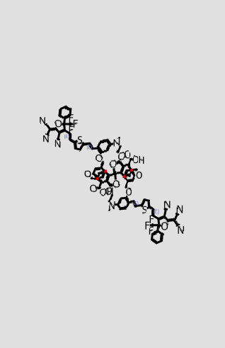 CN(CCOC(=O)c1c(C(C)(C)c2ccc(C=O)c(C(=O)O)c2C(=O)OCCN(C)c2ccc(/C=C/c3ccc(/C=C/C4=C(C#N)C(=C(C#N)C#N)OC4(c4ccccc4)C(F)(F)F)s3)c(OCc3ccccc3)c2)ccc(C=O)c1C(=O)O)c1ccc(/C=C/c2ccc(/C=C/C3=C(C#N)C(=C(C#N)C#N)OC3(c3ccccc3)C(F)(F)F)s2)c(OCc2ccccc2)c1